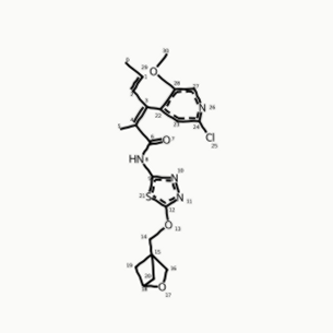 C/C=C/C(=C(\C)C(=O)Nc1nnc(OCC23COC(C2)C3)s1)c1cc(Cl)ncc1OC